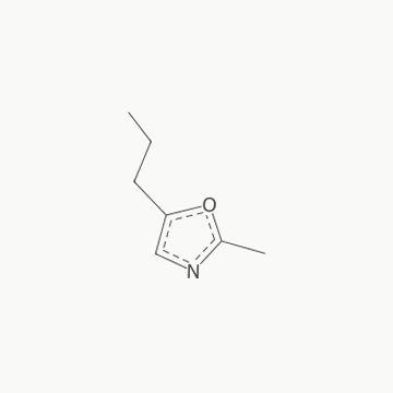 CCCc1cnc(C)o1